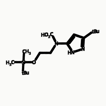 CC(C)(C)c1cc(N(CCO[Si](C)(C)C(C)(C)C)C(=O)O)[nH]n1